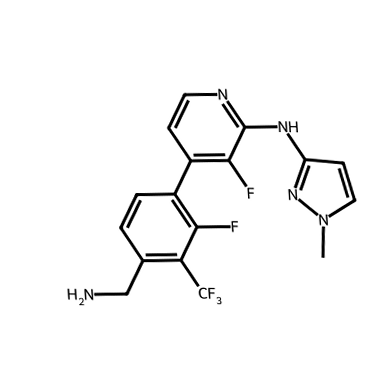 Cn1ccc(Nc2nccc(-c3ccc(CN)c(C(F)(F)F)c3F)c2F)n1